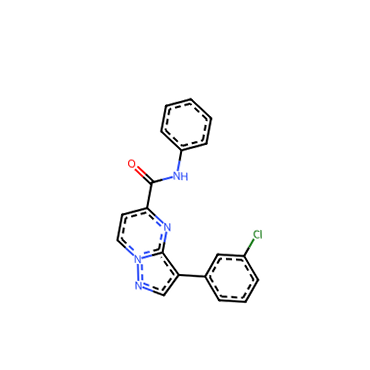 O=C(Nc1ccccc1)c1ccn2ncc(-c3cccc(Cl)c3)c2n1